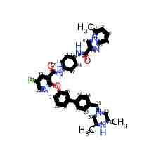 Cc1cccc2nc(C(=O)NC3CCC(NC(=O)c4cc(F)cnc4Oc4cccc(-c5ccc(CN6C[C@@H](C)N[C@@H](C)C6)cc5)c4)CC3)cn12